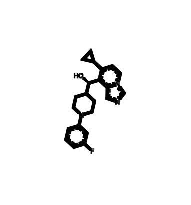 O[C@@H](c1c(C2CC2)ccn2cncc12)C1CCN(c2cccc(F)c2)CC1